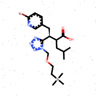 CC(C)CC(C(=O)O)[C@H](Cc1ccc(Br)nc1)c1nnnn1COCC[Si](C)(C)C